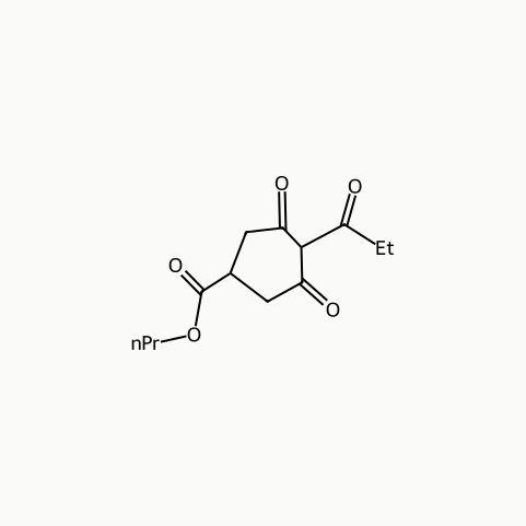 CCCOC(=O)C1CC(=O)C(C(=O)CC)C(=O)C1